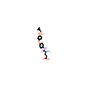 NC(CCC(=O)O)C(=O)Nc1ccc(Oc2ccc(S(=O)(=O)CC3CC3)cc2)cc1